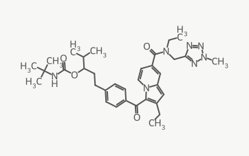 CCc1cc2cc(C(=O)N(CC)Cc3nnn(C)n3)ccn2c1C(=O)c1ccc(CCC(OC(=O)NC(C)(C)C)C(C)C)cc1